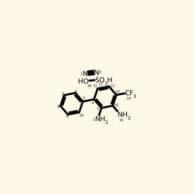 N#N.Nc1c(-c2ccccc2)ccc(C(F)(F)F)c1N.O=S(=O)(O)O